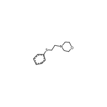 c1ccc(SCCN2CCOCC2)cc1